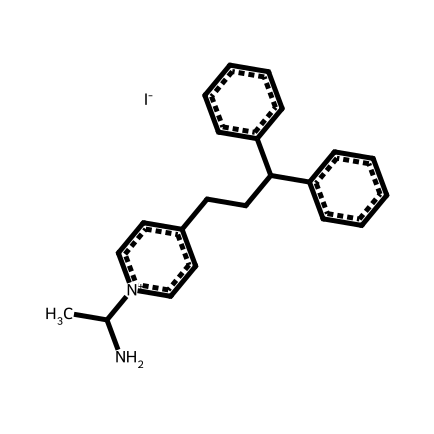 CC(N)[n+]1ccc(CCC(c2ccccc2)c2ccccc2)cc1.[I-]